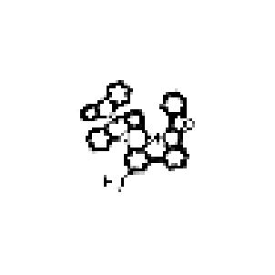 Cc1cc2c3c(c1)N1c4ccccc4[Si]4(c5ccccc5-c5ccccc54)c4cccc(c41)B3n1c3c-2cccc3c2oc3ccccc3c21